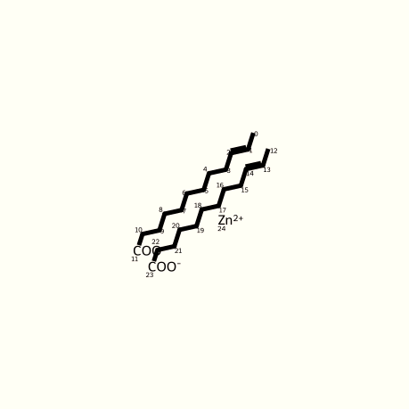 CC=CCCCCCCCCC(=O)[O-].CC=CCCCCCCCCC(=O)[O-].[Zn+2]